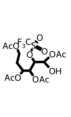 CC(=O)OCCC(OC(C)=O)C(OC(C)=O)C(OS(=O)(=O)C(F)(F)F)C(O)OC(C)=O